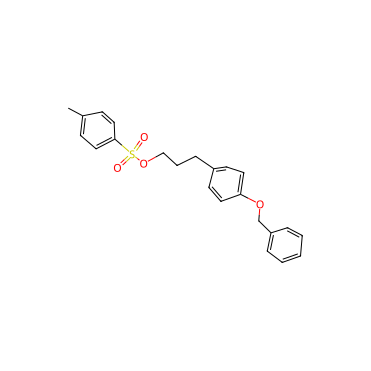 Cc1ccc(S(=O)(=O)OCCCc2ccc(OCc3ccccc3)cc2)cc1